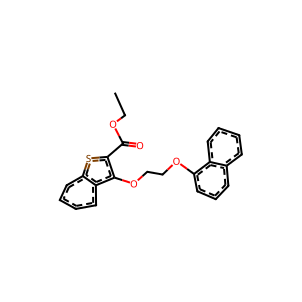 CCOC(=O)c1sc2ccccc2c1OCCOc1cccc2ccccc12